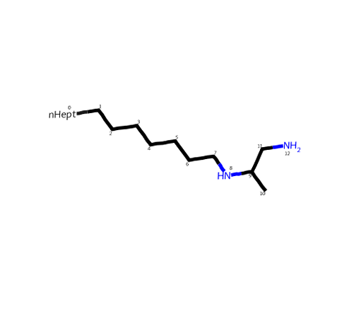 CCCCCCCCCCCCCCNC(C)CN